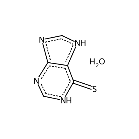 O.S=c1[nH]cnc2nc[nH]c12